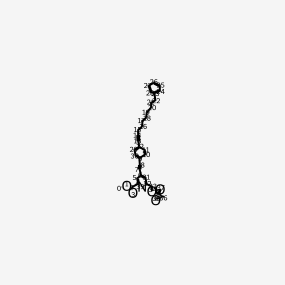 COC(=O)c1cc(C#Cc2ccc(C#CCCCCCCCCc3ccccc3)cc2)cc(COS(C)(=O)=O)n1